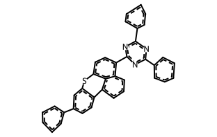 c1ccc(-c2ccc3c(c2)Sc2ccc(-c4nc(-c5ccccc5)nc(-c5ccccc5)n4)c4cccc-3c24)cc1